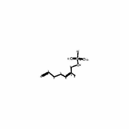 C=CCCC=C(C)COS(C)(=O)=O